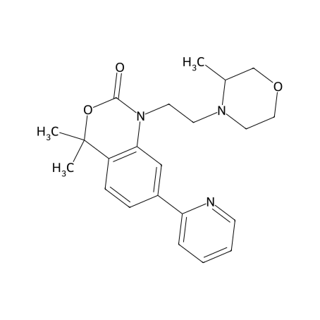 CC1COCCN1CCN1C(=O)OC(C)(C)c2ccc(-c3ccccn3)cc21